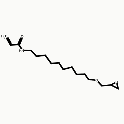 C=CC(=O)NCCCCCCCCCCOCC1CO1